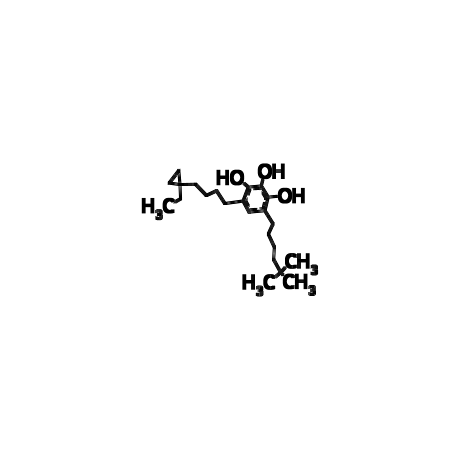 CCC1(CCCCc2cc(CCCCC(C)(C)C)c(O)c(O)c2O)CC1